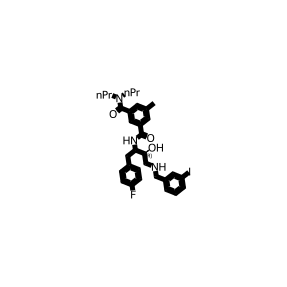 CCCN(CCC)C(=O)c1cc(C)cc(C(=O)NC(Cc2ccc(F)cc2)[C@H](O)CNCc2cccc(I)c2)c1